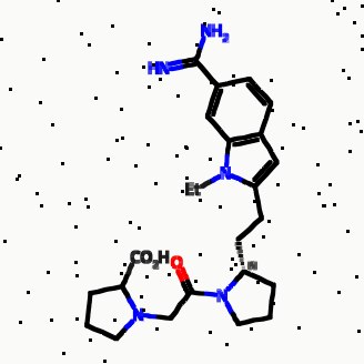 CCn1c(CC[C@@H]2CCCN2C(=O)CN2CCCC2C(=O)O)cc2ccc(C(=N)N)cc21